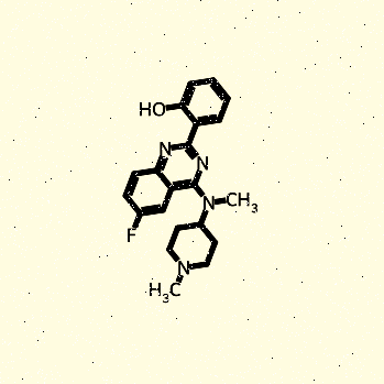 CN1CCC(N(C)c2nc(-c3ccccc3O)nc3ccc(F)cc23)CC1